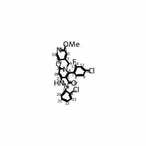 COc1cc(Cn2c(-c3ccc(Cl)cc3F)c3c(=O)n(-c4ccccc4Cl)[nH]c3cc2=O)ccn1